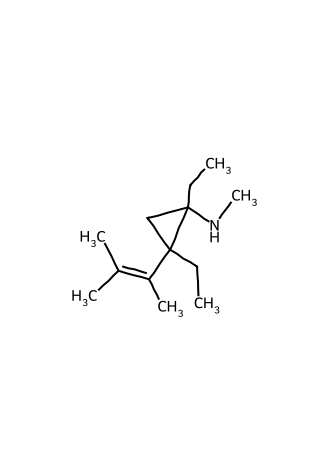 CCC1(NC)CC1(CC)C(C)=C(C)C